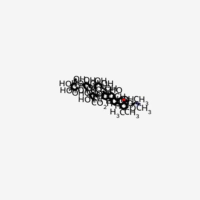 C/C=C(/C)C(=O)O[C@H]1CC(C)(C)C[C@H]2C3=CC[C@@H]4[C@@]5(C)CC[C@H](O[C@@H]6O[C@H](C(=O)O)[C@@H](O)[C@H](O[C@@H]7OC[C@H](O)[C@H](O)[C@H]7O[C@@H]7O[C@H](CO)[C@@H](O)[C@H](O)[C@H]7O)[C@H]6O[C@@H]6O[C@H](CO)[C@H](O)[C@H](O)[C@H]6O)[C@@](C)(C=O)[C@@H]5CC[C@@]4(C)[C@]3(C)C[C@@H](O)[C@@]12CO